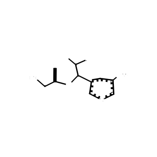 COc1cncc(C(OC(=O)CN)C(F)F)c1